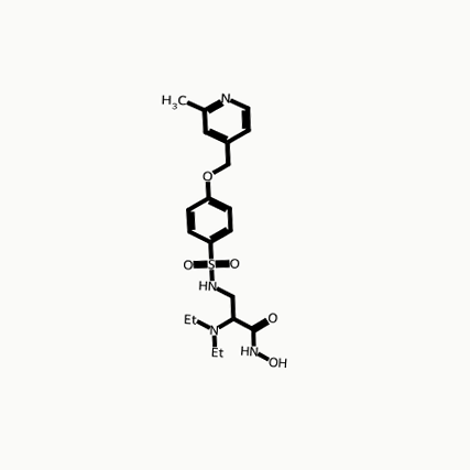 CCN(CC)C(CNS(=O)(=O)c1ccc(OCc2ccnc(C)c2)cc1)C(=O)NO